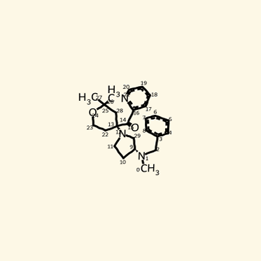 CN(Cc1ccccc1)[C@@H]1CCN([C@@]2(C(=O)c3ccccn3)CCOC(C)(C)C2)C1